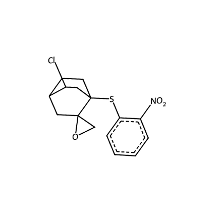 O=[N+]([O-])c1ccccc1SC12CCC(CC13CO3)C(Cl)C2